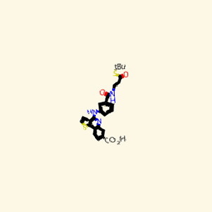 CC(C)(C)SC(=O)CCNC(=O)c1cccc(Nc2nc3cc(C(=O)O)ccc3c3sccc23)c1